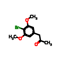 COc1cc(CC(C)=O)cc(OC)c1Br